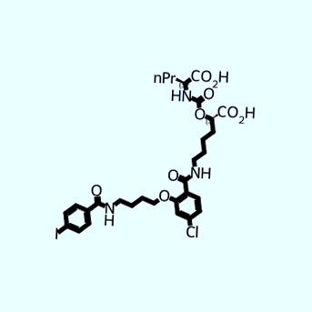 CCC[C@H](NC(=O)O[C@@H](CCCCNC(=O)c1ccc(Cl)cc1OCCCCNC(=O)c1ccc(I)cc1)C(=O)O)C(=O)O